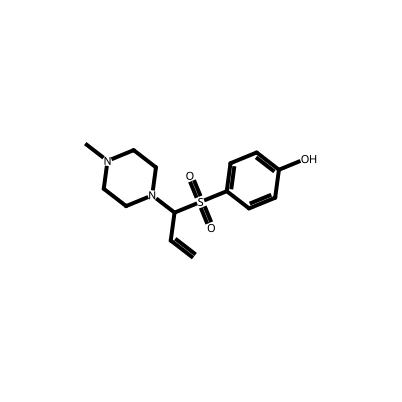 C=CC(N1CCN(C)CC1)S(=O)(=O)c1ccc(O)cc1